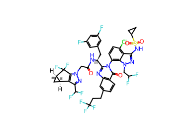 O=C(Cn1nc(C(F)F)c2c1C(F)(F)[C@@H]1C[C@H]21)N[C@@H](Cc1cc(F)cc(F)c1)c1nc2cc(CCC(F)(F)F)ccc2c(=O)n1-c1ccc(Cl)c2c(NS(=O)(=O)C3CC3)nn(CC(F)F)c12